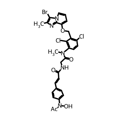 CC(=O)N(O)c1ccc(C=CC(=O)NCC(=O)N(C)c2ccc(Cl)c(COc3cccn4c(Br)c(C)nc34)c2Cl)cc1